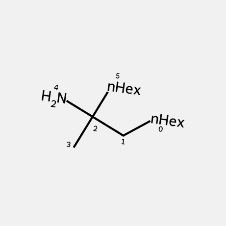 CCCCCCCC(C)(N)CCCCCC